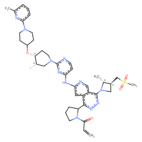 C=CC(=O)N1CCCC1c1nnc(N2C[C@H](CS(C)(=O)=O)[C@H]2C)c2cnc(Nc3ccnc(N4CC[C@@H](OC5CCN(c6cccc(C(F)(F)F)n6)CC5)[C@@H](F)C4)n3)cc12